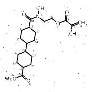 C=C(C)C(=O)OCCN(C)C(=O)C1CCC(C2CCC(C(=O)OC)CC2)CC1